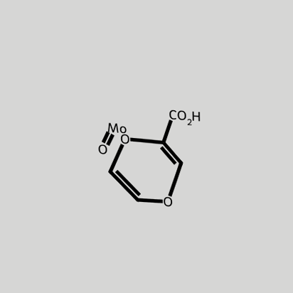 O=C(O)C1=COC=CO1.[O]=[Mo]